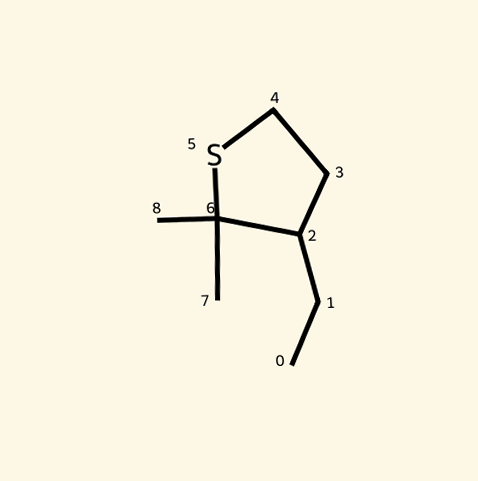 CCC1CCSC1(C)C